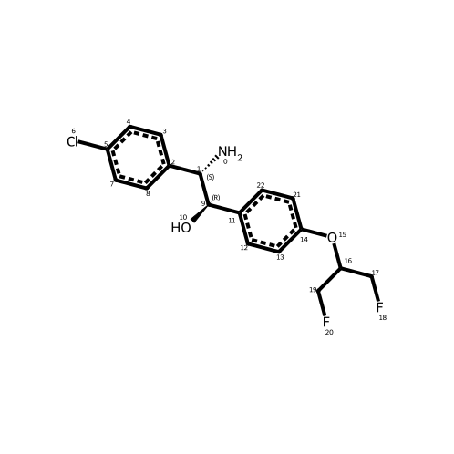 N[C@@H](c1ccc(Cl)cc1)[C@H](O)c1ccc(OC(CF)CF)cc1